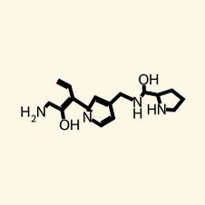 C=C/C(=C(/O)CN)c1cc(CNC(O)C2CCCN2)ccn1